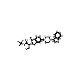 CCC(C(=O)OC(C)(C)C)N1Cc2cc(N3CCN(c4nsc5ccccc45)CC3)ccc2C1=O